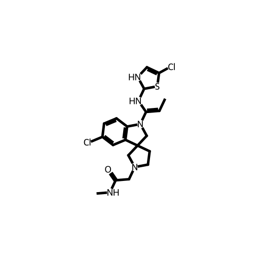 CC=C(NC1NC=C(Cl)S1)N1CC2(CCN(CC(=O)NC)C2)c2cc(Cl)ccc21